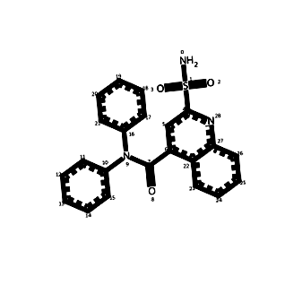 NS(=O)(=O)c1cc(C(=O)N(c2ccccc2)c2ccccc2)c2ccccc2n1